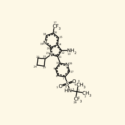 CC(C)(NS(=O)(=O)c1ccc(-c2c(N)c3cc(C(F)(F)F)cnc3n2C2CCC2)nc1)C(F)(F)F